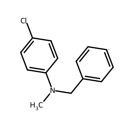 CN(Cc1cc[c]cc1)c1ccc(Cl)cc1